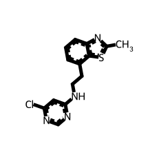 Cc1nc2cccc(CCNc3cc(Cl)ncn3)c2s1